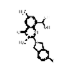 Cc1cc(C(C)O)c2nc(N3Cc4ccc(Cl)cc4C3)n(C)c(=O)c2c1